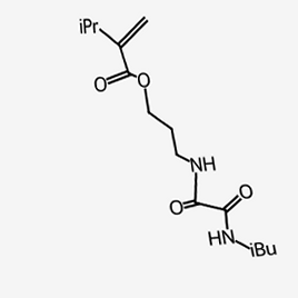 C=C(C(=O)OCCCNC(=O)C(=O)NC(C)CC)C(C)C